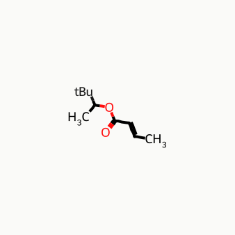 CC=CC(=O)OC(C)C(C)(C)C